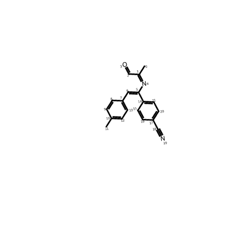 C/C(C=O)=N/C(=C/c1ccc(C)cc1)c1ccc(C#N)cc1